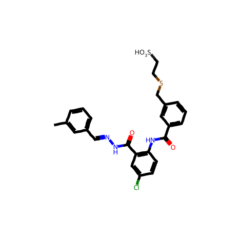 Cc1cccc(/C=N/NC(=O)c2cc(Cl)ccc2NC(=O)c2cccc(CSCCS(=O)(=O)O)c2)c1